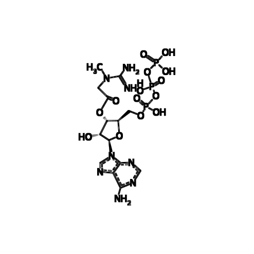 CN(CC(=O)O[C@H]1[C@@H](O)[C@H](n2cnc3c(N)ncnc32)O[C@@H]1COP(=O)(O)OP(=O)(O)OP(=O)(O)O)C(=N)N